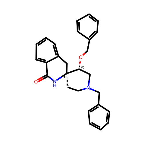 O=C1N[C@@]2(CCN(Cc3ccccc3)C[C@H]2OCc2ccccc2)Cc2ccccc21